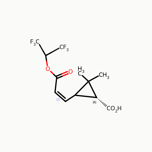 CC1(C)C(/C=C\C(=O)OC(C(F)(F)F)C(F)(F)F)[C@H]1C(=O)O